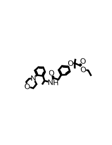 CCOC(=O)C(C)(C)Oc1ccc(CC(=O)NC(C)c2ccccc2N2CCOCC2)cc1